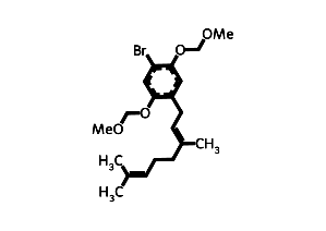 COCOc1cc(C/C=C(\C)CCC=C(C)C)c(OCOC)cc1Br